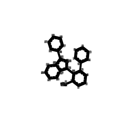 CC(C)(C)c1cccc(-c2ccccc2)c1-c1sc(-c2ccccc2)c2ccccc12